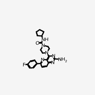 Nc1nc(N2CCN(C(=O)NC3CCCC3)CC2)c2nc(-c3ccc(F)cc3)ccc2n1